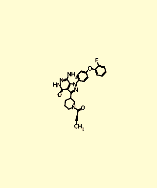 CC#CC(=O)N1CCCC(c2nn(-c3ccc(Oc4ccccc4F)cc3)c3c(N)n[nH]c(=O)c23)C1